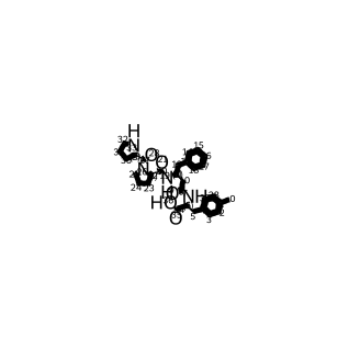 Cc1ccc(C[C@H](NC(=O)C[C@H](Cc2ccccc2)NC(=O)[C@@H]2CCCN2C(=O)[C@@H]2CCCN2)C(=O)O)cc1